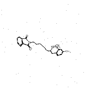 Cc1ccc(C[C@H](N)CCCCN2C(=O)c3ccccc3C2=O)c(C)c1